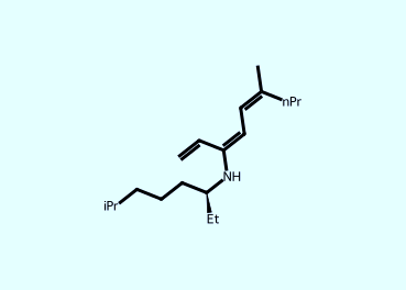 C=C/C(=C\C=C(\C)CCC)N[C@@H](CC)CCCC(C)C